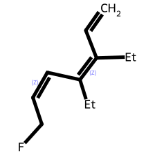 C=C/C(CC)=C(\C=C/CF)CC